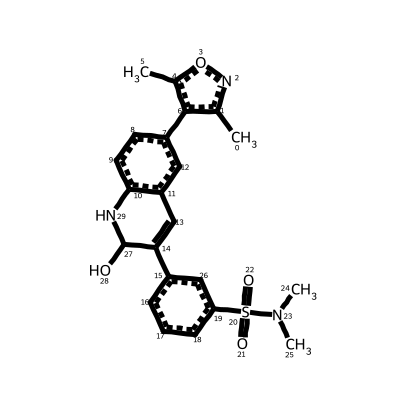 Cc1noc(C)c1-c1ccc2c(c1)C=C(c1cccc(S(=O)(=O)N(C)C)c1)C(O)N2